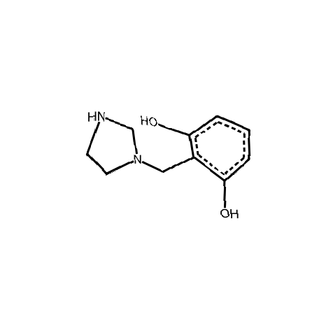 Oc1cccc(O)c1CN1CCNC1